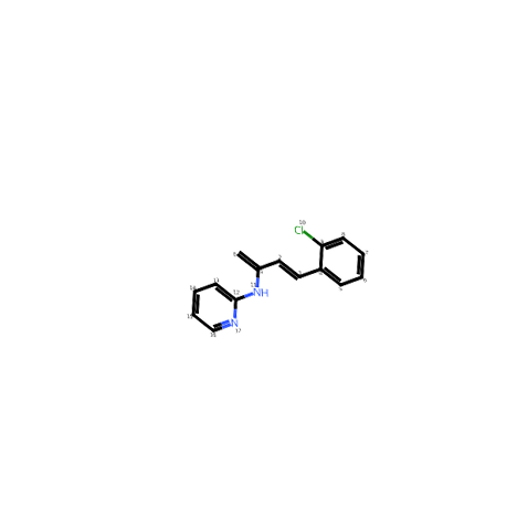 C=C(/C=C/c1ccccc1Cl)Nc1ccccn1